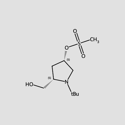 CC(C)(C)N1C[C@@H](OS(C)(=O)=O)C[C@H]1CO